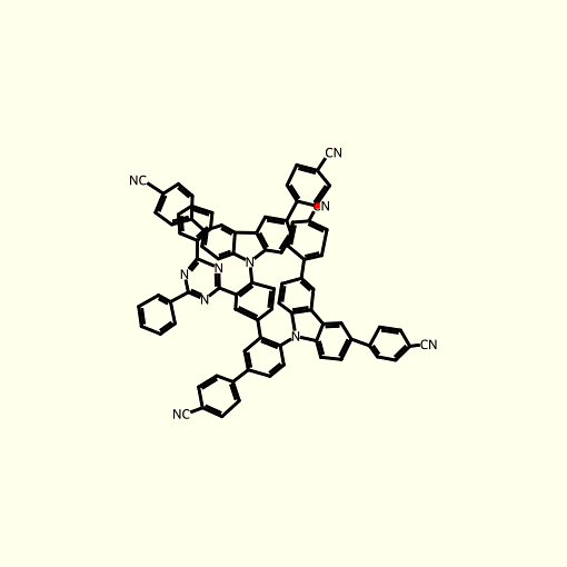 N#Cc1ccc(-c2ccc(-n3c4ccc(-c5ccc(C#N)cc5)cc4c4cc(-c5ccc(C#N)cc5)ccc43)c(-c3ccc(-n4c5ccc(-c6ccc(C#N)cc6)cc5c5cc(-c6ccc(C#N)cc6)ccc54)c(-c4nc(-c5ccccc5)nc(-c5ccccc5)n4)c3)c2)cc1